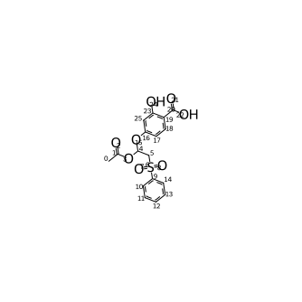 CC(=O)OC(CS(=O)(=O)c1ccccc1)Oc1ccc(C(=O)O)c(O)c1